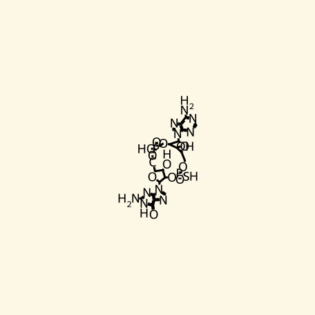 Nc1nc2c(ncn2C2OC3COP(=O)(O)OC4C(O)C(COP(=O)(S)OC2C3O)OC4n2cnc3c(N)ncnc32)c(=O)[nH]1